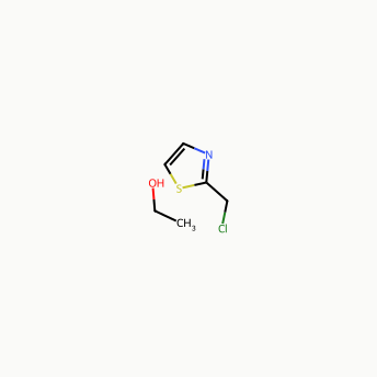 CCO.ClCc1nccs1